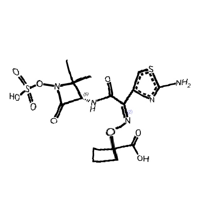 CC1(C)[C@H](NC(=O)/C(=N\OC2(C(=O)O)CCC2)c2csc(N)n2)C(=O)N1OS(=O)(=O)O